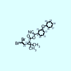 CC1(C)[C@H](C(=O)OC(C#N)c2cccc(Oc3ccccc3)c2)[C@@H]1C=C(Br)Br